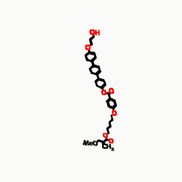 C=C(COC)C(=O)OCCCCCCOc1ccc(C(=O)OC2=CC=C(C3=CC=C(C4=CC=C(OCCCO)CC4)CC3)CC2)cc1